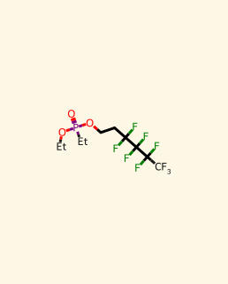 CCOP(=O)(CC)OCCC(F)(F)C(F)(F)C(F)(F)C(F)(F)F